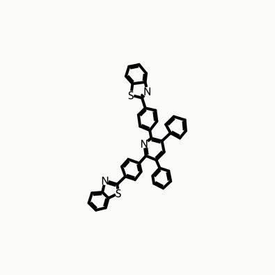 c1ccc(-c2cc(-c3ccccc3)c(-c3ccc(-c4nc5ccccc5s4)cc3)nc2-c2ccc(-c3nc4ccccc4s3)cc2)cc1